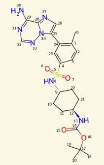 Cc1ccc(S(=O)(=O)N[C@H]2CC[C@H](NC(=O)OC(C)(C)C)CC2)cc1-c1cnc2c(N)ncnn12